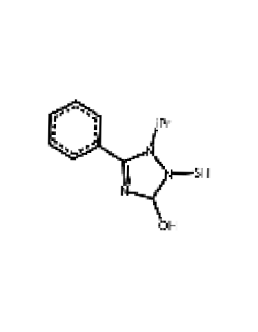 CC(C)N1C(c2ccccc2)=NC(O)N1S